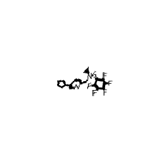 Fc1c(F)c(F)c(SN(Cc2ccc(C3CCCC3)cn2)C2CC2)c(F)c1F